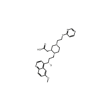 COc1ccc2nccc([C@@H](F)CC[C@@H]3CCN(CCSc4ccncn4)C[C@@H]3CC(=O)O)c2c1